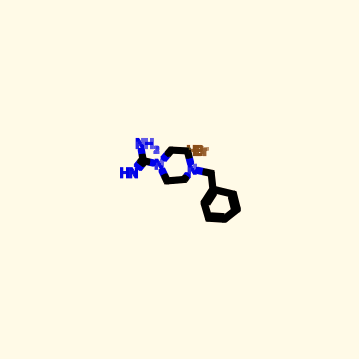 Br.N=C(N)N1CCN(Cc2ccccc2)CC1